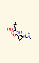 CNCNc1cccc(C(=O)NC(/C=C/C(C)(C)C)C(=O)O)c1